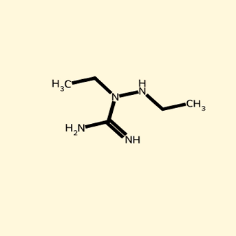 CCNN(CC)C(=N)N